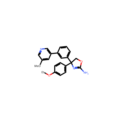 CCOc1ccc(C2(c3cccc(-c4cncc(OC)c4)c3)COC(N)=N2)cc1